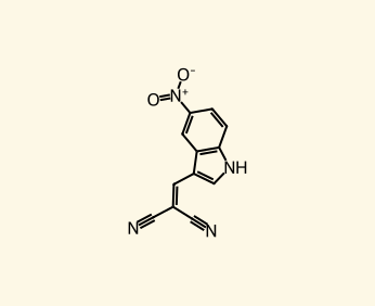 N#CC(C#N)=Cc1c[nH]c2ccc([N+](=O)[O-])cc12